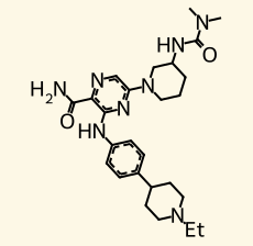 CCN1CCC(c2ccc(Nc3nc(N4CCCC(NC(=O)N(C)C)C4)cnc3C(N)=O)cc2)CC1